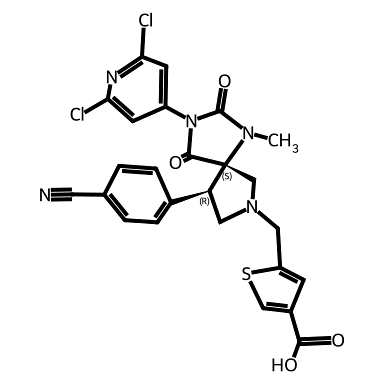 CN1C(=O)N(c2cc(Cl)nc(Cl)c2)C(=O)[C@]12CN(Cc1cc(C(=O)O)cs1)C[C@H]2c1ccc(C#N)cc1